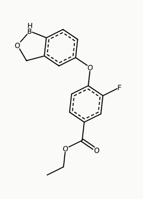 CCOC(=O)c1ccc(Oc2ccc3c(c2)COB3)c(F)c1